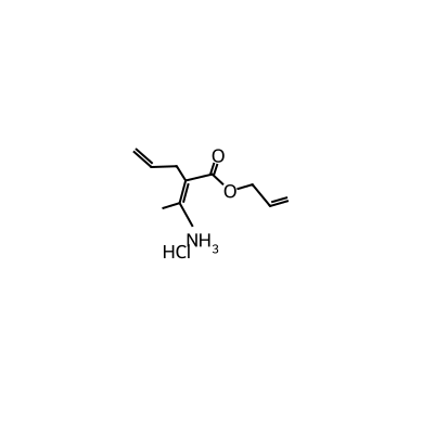 C=CCOC(=O)C(CC=C)=C(C)C.Cl.N